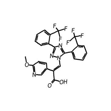 COc1ccc(/C(=C\n2nc(-c3ccccc3C(F)(F)F)nc2-c2ccccc2C(F)(F)F)C(=O)O)cn1